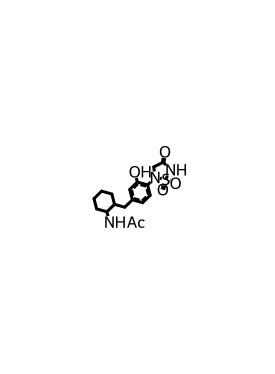 CC(=O)NC1CCCCC1Cc1ccc(N2CC(=O)NS2(=O)=O)c(O)c1